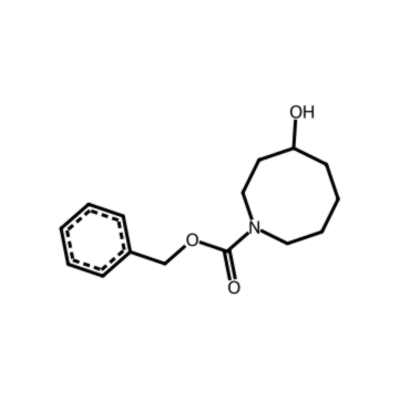 O=C(OCc1ccccc1)N1CCCCC(O)CC1